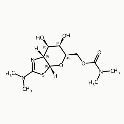 CN(C)C(=O)OC[C@H]1O[C@@H]2SC(N(C)C)=N[C@@H]2[C@@H](O)[C@H]1O